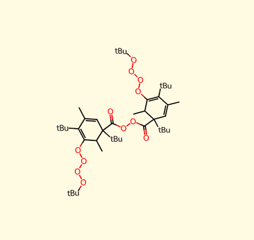 CC1=CC(C(=O)OOC(=O)C2(C(C)(C)C)C=C(C)C(C(C)(C)C)=C(OOOOC(C)(C)C)C2C)(C(C)(C)C)C(C)C(OOOOC(C)(C)C)=C1C(C)(C)C